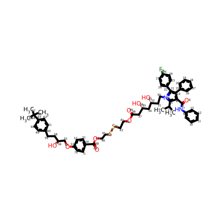 CC(C)c1c(C(=O)Nc2ccccc2)c(-c2ccccc2)c(-c2ccc(F)cc2)n1CC[C@@H](O)C[C@@H](O)CC(=O)OCCSSCCOC(=O)c1ccc(OCC(O)CCc2ccc(C(C)(C)C)cc2)cc1